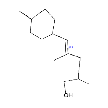 C/C(=C\C1CCC(C)CC1)CC(C)CO